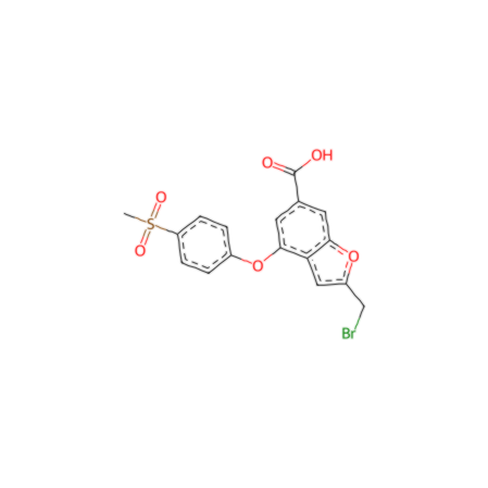 CS(=O)(=O)c1ccc(Oc2cc(C(=O)O)cc3oc(CBr)cc23)cc1